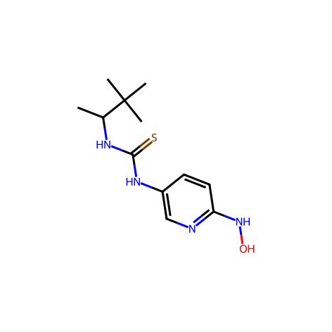 CC(NC(=S)Nc1ccc(NO)nc1)C(C)(C)C